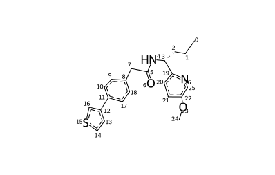 CCC[C@@H](NC(=O)Cc1ccc(-c2ccsc2)cc1)c1ccc(OC)cn1